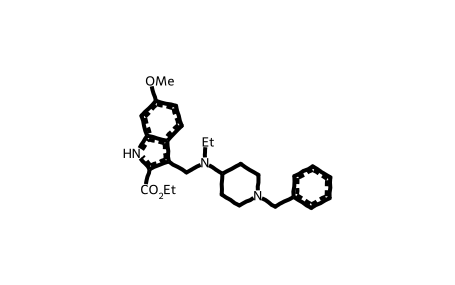 CCOC(=O)c1[nH]c2cc(OC)ccc2c1CN(CC)C1CCN(Cc2ccccc2)CC1